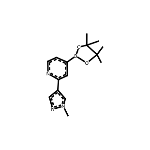 Cn1cc(-c2cc(B3OC(C)(C)C(C)(C)O3)ccn2)cn1